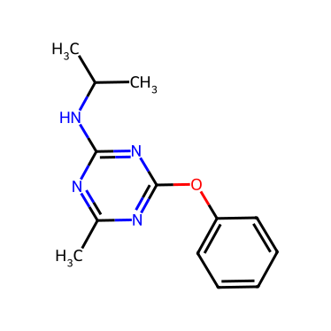 Cc1nc(NC(C)C)nc(Oc2ccccc2)n1